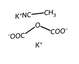 CC#N.O=C([O-])OC(=O)[O-].[K+].[K+]